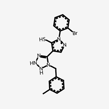 Cc1cccc(CN2NNN=C2c2cnn(-c3ccccc3Br)c2S)c1